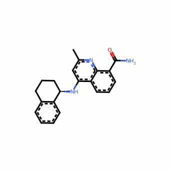 Cc1cc(N[C@@H]2CCCc3ccccc32)c2cccc(C(N)=O)c2n1